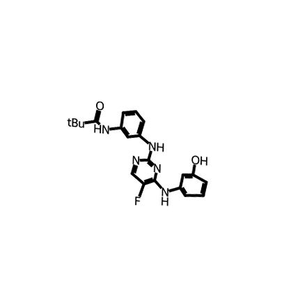 CC(C)(C)C(=O)Nc1cccc(Nc2ncc(F)c(Nc3cccc(O)c3)n2)c1